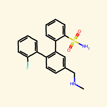 CNCc1ccc(-c2ccccc2F)c(-c2ccccc2S(N)(=O)=O)c1